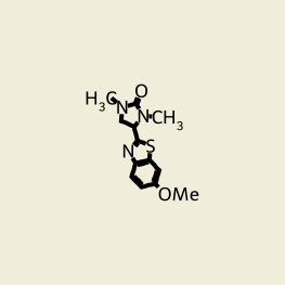 COc1ccc2nc(C3CN(C)C(=O)N3C)sc2c1